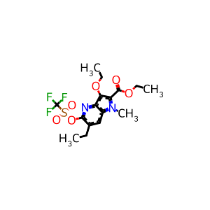 CCOC(=O)c1c(OCC)c2nc(OS(=O)(=O)C(F)(F)F)c(CC)cc2n1C